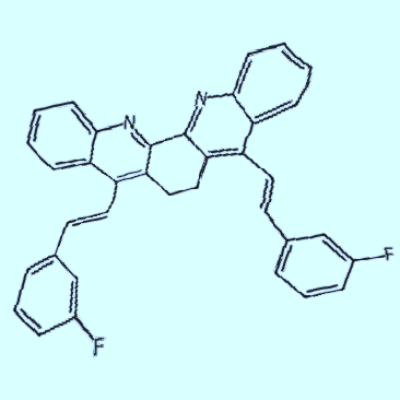 Fc1cccc(C=Cc2c3c(nc4ccccc24)-c2nc4ccccc4c(C=Cc4cccc(F)c4)c2CC3)c1